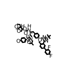 COc1ccc(S(=O)(=O)N(CC[C@H](Cc2ccc(OCc3ccc(-c4ccc(F)cc4F)cc3-c3nnn(C(C)(C)C)n3)cc2)NC(=O)O[C@H]2CO[C@@]3(C)OCC[C@@H]23)CC(C)C)cc1